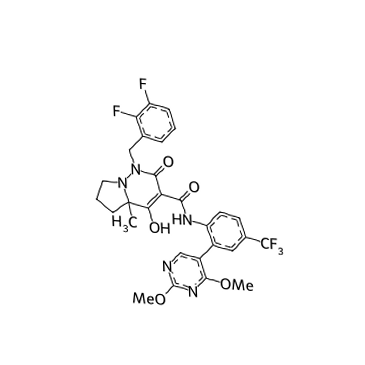 COc1ncc(-c2cc(C(F)(F)F)ccc2NC(=O)C2=C(O)C3(C)CCCN3N(Cc3cccc(F)c3F)C2=O)c(OC)n1